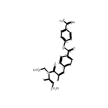 CCOC(=O)C=C(C)N(CC(=O)OCC)C(=O)C(C)=Cc1ccc(C(=O)Oc2ccc(C(=N)N)cc2)cc1